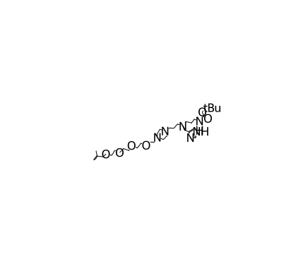 C=C(C)COCCOCCOCCOCCN1CCN(CCCN(CCCNC(=O)OC(C)(C)C)Cc2c[nH]cn2)CC1